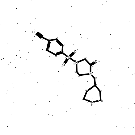 C#Cc1ccc(S(=O)(=O)N2CCN(CC3CCNCC3)C(=O)C2)cc1